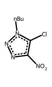 CCCCn1nnc([N+](=O)[O-])c1Cl